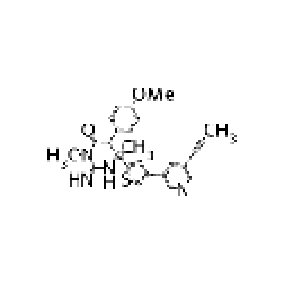 CC#Cc1cncc(-c2csc([C@@]3(C)NC(=N)N(C)C(=O)C3c3ccc(OC)cc3)c2)c1